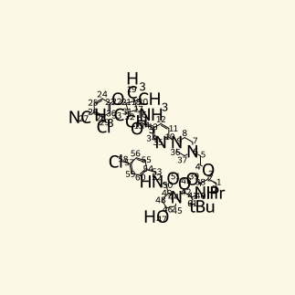 CC(C)C[C@H](OCCN1CCN(c2ccc(C(=O)N[C@H]3C(C)(C)[C@H](Oc4ccc(C#N)c(Cl)c4)C3(C)C)cn2)CC1)C(=O)N[C@H](C(=O)N1C[C@H](O)C[C@H]1C(=O)NCc1ccc(Cl)cc1)C(C)(C)C